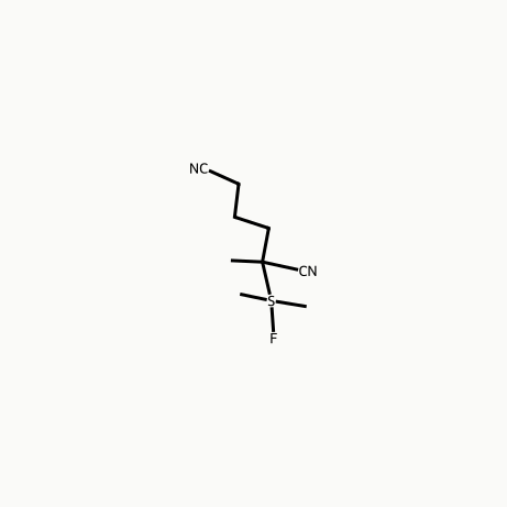 CC(C#N)(CCCC#N)S(C)(C)F